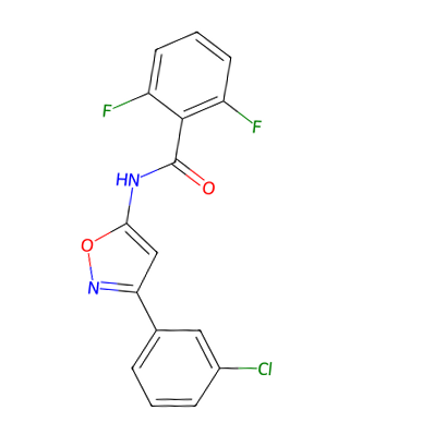 O=C(Nc1cc(-c2cccc(Cl)c2)no1)c1c(F)cccc1F